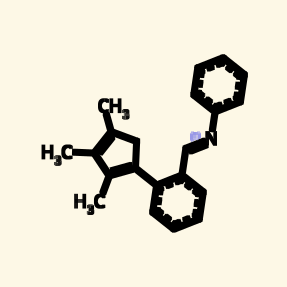 CC1=C(C)C(C)=C(c2ccccc2/C=N/c2ccccc2)C1